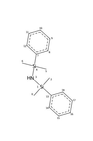 C[Si](C)(N[Si](C)(C)c1ccccc1)c1ccccc1